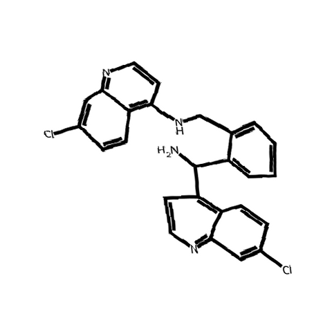 NC(c1ccccc1CNc1ccnc2cc(Cl)ccc12)c1ccnc2cc(Cl)ccc12